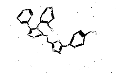 Cc1ccc(-c2nnc(CSc3nnc(-c4ccncc4)n3-c3ccncc3Cl)o2)cc1